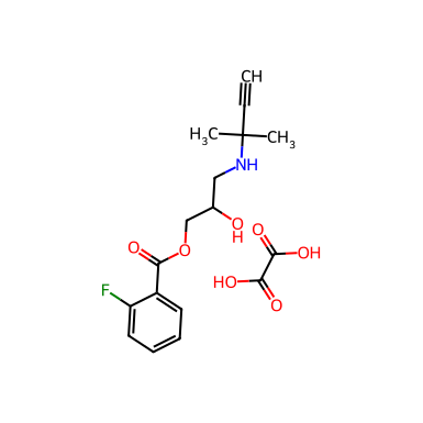 C#CC(C)(C)NCC(O)COC(=O)c1ccccc1F.O=C(O)C(=O)O